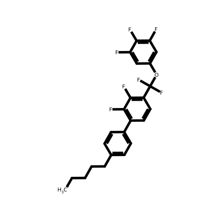 CCCCCc1ccc(-c2ccc(C(F)(F)Oc3cc(F)c(F)c(F)c3)c(F)c2F)cc1